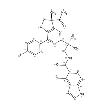 C[C@]1(C(N)=O)COc2c1cc([C@@](O)(CNC(=O)c1cnc3[nH]ccc3c1Cl)C(F)(F)F)nc2-c1ccc(F)cc1